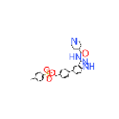 Cc1ccc(S(=O)(=O)OCc2ccc(-c3ccc4[nH]nc(NC(=O)C5CCN(C)CC5)c4c3)cc2)cc1